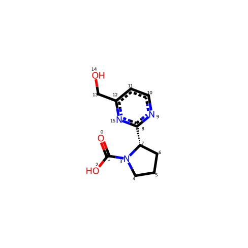 O=C(O)N1CCC[C@H]1c1nccc(CO)n1